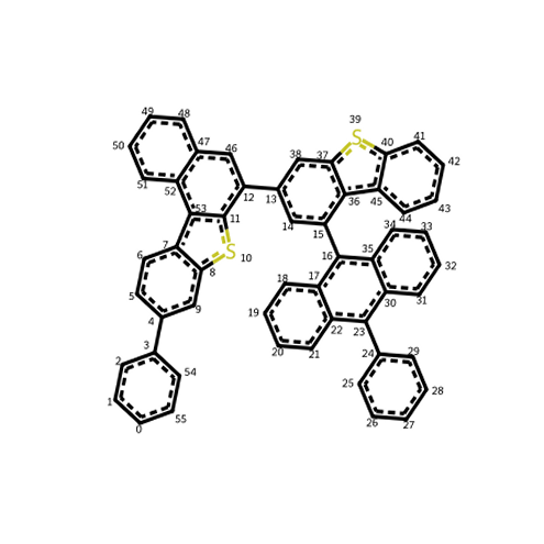 c1ccc(-c2ccc3c(c2)sc2c(-c4cc(-c5c6ccccc6c(-c6ccccc6)c6ccccc56)c5c(c4)sc4ccccc45)cc4ccccc4c23)cc1